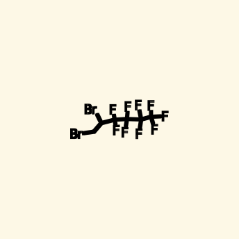 FC(F)(F)C(F)(F)C(F)(F)C(F)(F)C(Br)CBr